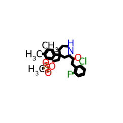 Cc1ccc(C2(CCOS(C)(=O)=O)CCCNC(C(=O)Cc3c(F)cccc3Cl)C2)cc1C